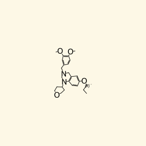 CC[C@@H](C)Oc1ccc2c(c1)CN(Cc1ccc(OC)c(OC)c1)CN2C1CCOCC1